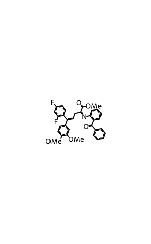 COC(=O)C(CC=C(c1ccc(OC)c(OC)c1)c1ccc(F)cc1F)=Nc1ccccc1C(=O)c1ccccc1